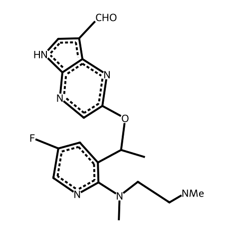 CNCCN(C)c1ncc(F)cc1C(C)Oc1cnc2[nH]cc(C=O)c2n1